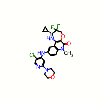 Cn1c(=O)c2c(c3cc(Nc4cc(N5CCOCC5)ncc4Cl)ccc31)N[C@@H](C1CC1)C(F)(F)CO2